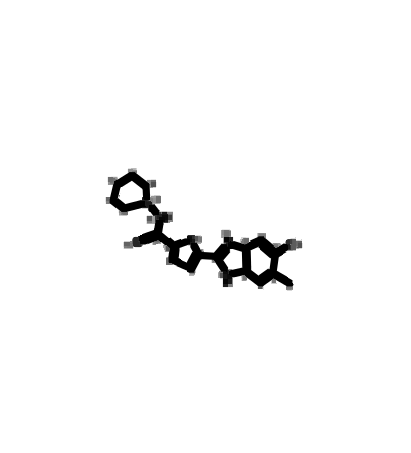 Cc1cc2[nH]c(-c3ccc(C(=O)NN4CCCCC4)s3)nc2cc1Cl